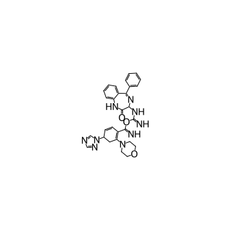 N=C(NC1N=C(c2ccccc2)c2ccccc2NC1=O)OC(=N)C1=C(N2CCOCC2)CC(n2cncn2)C=C1